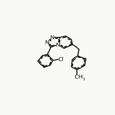 Cc1ccc(Cc2ccc3nnc(-c4ccccc4Cl)n3c2)cc1